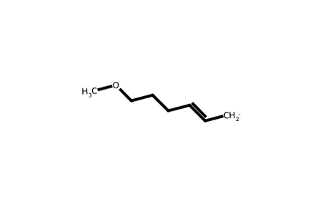 [CH2]C=CCCCOC